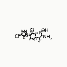 CC(C(N)=NO)c1ccc(-n2cc(Cl)cn2)c(Cl)c1